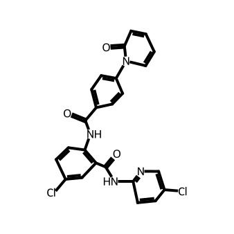 O=C(Nc1ccc(Cl)cc1C(=O)Nc1ccc(Cl)cn1)c1ccc(-n2ccccc2=O)cc1